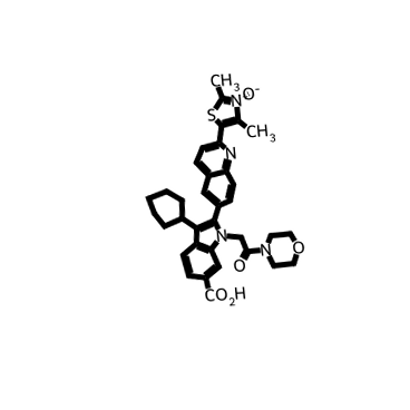 Cc1sc(-c2ccc3cc(-c4c(C5CCCCC5)c5ccc(C(=O)O)cc5n4CC(=O)N4CCOCC4)ccc3n2)c(C)[n+]1[O-]